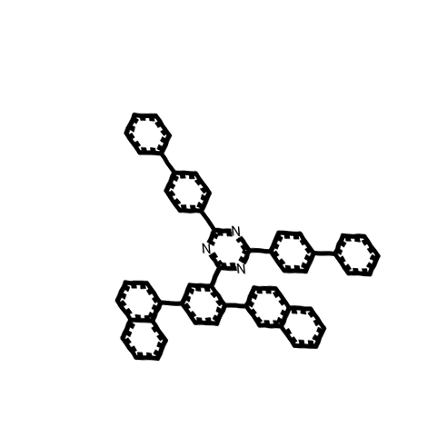 c1ccc(-c2ccc(-c3nc(-c4ccc(-c5ccccc5)cc4)nc(-c4cc(-c5cccc6ccccc56)ccc4-c4ccc5ccccc5c4)n3)cc2)cc1